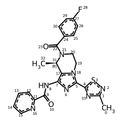 Cc1nsc(-c2nc(NC(=O)c3ccccn3)c3n2CCN(C(=O)c2ccc(F)cc2)[C@@H]3C)n1